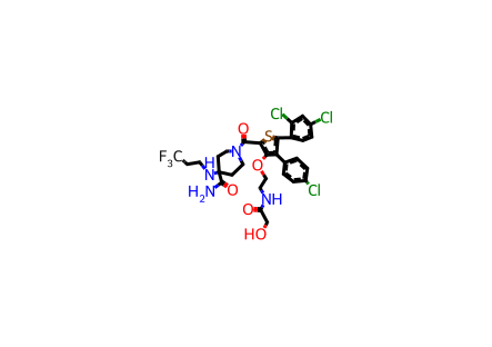 NC(=O)C1(NCCC(F)(F)F)CCN(C(=O)c2sc(-c3ccc(Cl)cc3Cl)c(-c3ccc(Cl)cc3)c2OCCNC(=O)CO)CC1